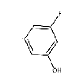 Oc1c[c]cc(F)c1